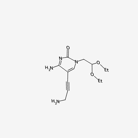 CCOC(Cn1cc(C#CCN)c(N)nc1=O)OCC